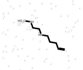 C=CCCCNCCNC(=O)O